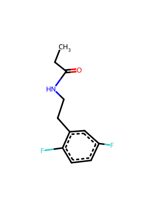 CCC(=O)NCCc1cc(F)ccc1F